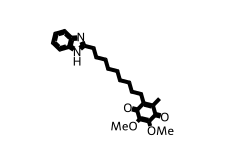 COC1=C(OC)C(=O)C(CCCCCCCCCc2nc3ccccc3[nH]2)=C(C)C1=O